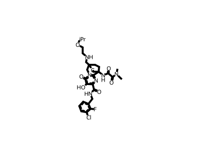 CC(C)OCCNCC12CCC(NC(=O)C(=O)N(C)C)(CC1)c1nc(C(=O)NCc3cccc(Cl)c3F)c(O)c(=O)n1C2